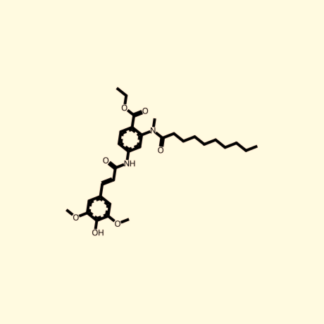 CCCCCCCCCC(=O)N(C)c1cc(NC(=O)C=Cc2cc(OC)c(O)c(OC)c2)ccc1C(=O)OCC